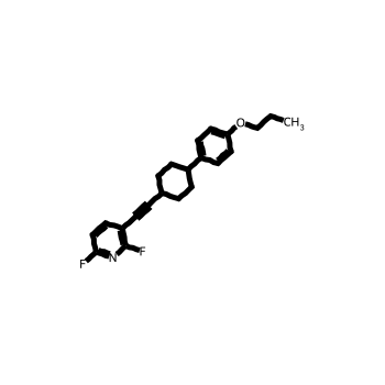 CCCOc1ccc(C2CCC(C#Cc3ccc(F)nc3F)CC2)cc1